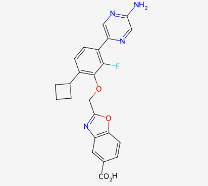 Nc1cnc(-c2ccc(C3CCC3)c(OCc3nc4cc(C(=O)O)ccc4o3)c2F)cn1